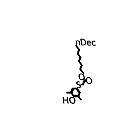 CCCCCCCCCCCCCCCCCCOC(=O)CSc1cc(C)c(O)c(C)c1